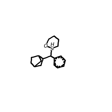 c1ccc(C(C2CC3CCC2C3)[SiH]2CCCCO2)cc1